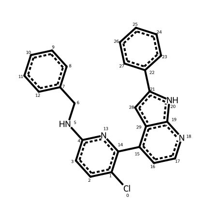 Clc1ccc(NCc2ccccc2)nc1-c1ccnc2[nH]c(-c3ccccc3)cc12